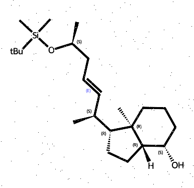 C[C@@H](C/C=C/[C@H](C)[C@H]1CC[C@H]2[C@@H](O)CCC[C@]12C)O[Si](C)(C)C(C)(C)C